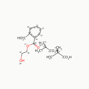 C=C(C)C(=O)O.C=C(C)C(=O)O.O=C(O)c1ccccc1C(=O)OCCO